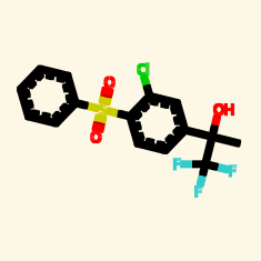 CC(O)(c1ccc(S(=O)(=O)c2ccccc2)c(Cl)c1)C(F)(F)F